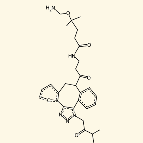 CC(C)C(=O)Cn1nnc2c1-c1ccccc1C(C(=O)CCNC(=O)CCC(C)(C)OCN)Cc1ccccc1-2